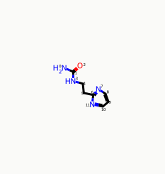 NC(=O)NCCc1ncccn1